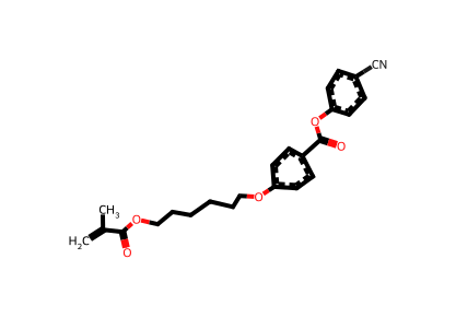 C=C(C)C(=O)OCCCCCCOc1ccc(C(=O)Oc2ccc(C#N)cc2)cc1